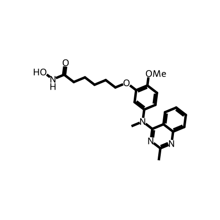 COc1ccc(N(C)c2nc(C)nc3ccccc23)cc1OCCCCCC(=O)NO